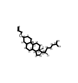 C=CCOC1CC[C@@]2(C)C(CCC3C2CC[C@@]2(C)C3CC[C@@H]2[C@H](C)CCCC(C)C)C1